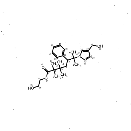 CC(C)(C(CC(C)(C)C(C)(C)C(=O)OCCO)c1ccccc1)n1cc(CO)nn1